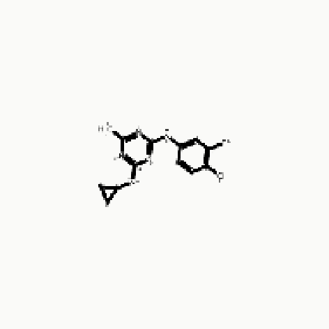 Cc1nc(Nc2ccc(O)c(F)c2)nc(NC2CC2)n1